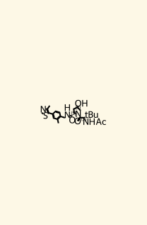 CC(=O)N[C@H](C(=O)N1C[C@H](O)C[C@H]1C(=O)NCc1ccc(-c2scnc2C)cc1C)C(C)(C)C